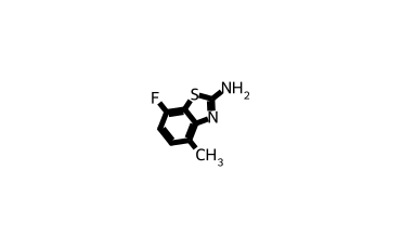 Cc1ccc(F)c2sc(N)nc12